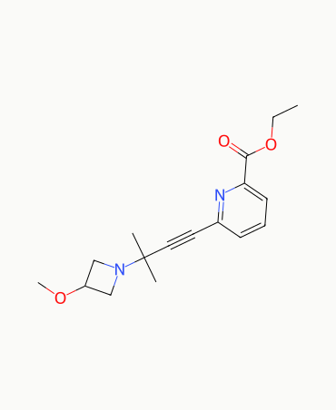 CCOC(=O)c1cccc(C#CC(C)(C)N2CC(OC)C2)n1